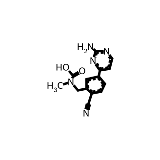 CN(Cc1cc(-c2ccnc(N)n2)ccc1C#N)C(=O)O